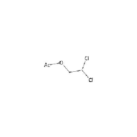 CC(=O)OCC(Cl)Cl